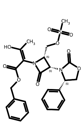 CC(O)=C(C(=O)OCc1ccccc1)N1C(=O)[C@@H](N2C(=O)OC[C@@H]2c2ccccc2)[C@H]1COS(C)(=O)=O